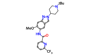 COc1cc2nn(C3CCN(C(C)(C)C)CC3)cc2cc1NC(=O)c1cccc(C(F)(F)F)n1